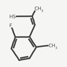 C/C(S)=C/c1c(C)cccc1F